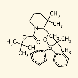 CC(C)(C)OC(=O)N1CCCC(C)(C)C1CO[Si](c1ccccc1)(c1ccccc1)C(C)(C)C